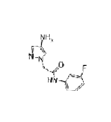 Nc1cnn(CC(=O)Nc2cccc(F)c2)c1